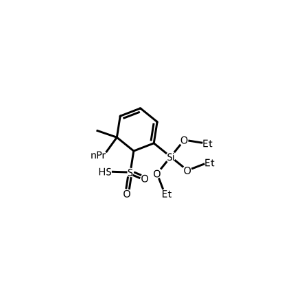 CCCC1(C)C=CC=C([Si](OCC)(OCC)OCC)C1S(=O)(=O)S